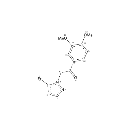 CCc1ccnn1CC(=O)c1ccc(OC)c(OC)c1